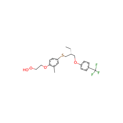 CC[C@H](COc1ccc(C(F)(F)F)cc1)CSc1ccc(OCCOO)c(C)c1